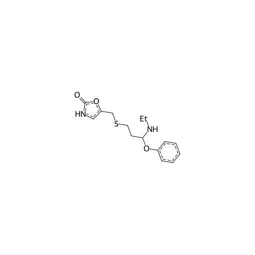 CCNC(CCSCc1c[nH]c(=O)o1)Oc1ccccc1